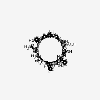 CCCC[C@H]1C(=O)N(C)[C@@H](CCCC)C(=O)N[C@@H](C)C(=O)N[C@H](C(=O)NCC(N)=O)CSCC(=O)N[C@@H](Cc2ccc(O)cc2)C(=O)N2CCC[C@H]2C(=O)N[C@@H](CC(N)=O)C(=O)N2CCC[C@H]2C(=O)N[C@@H](CN)C(=O)N[C@@H](CCC(=O)O)C(=O)N2C[C@H](O)C[C@H]2C(=O)N[C@@H](Cc2c[nH]c3ccccc23)C(=O)N[C@@H](CCN)C(=O)N[C@@H](Cc2c[nH]c3ccccc23)C(=O)N1C